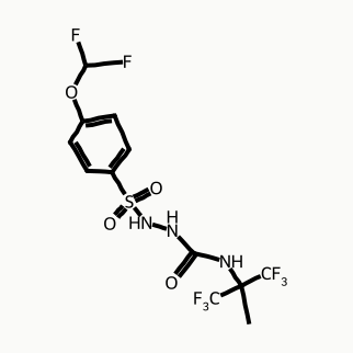 CC(NC(=O)NNS(=O)(=O)c1ccc(OC(F)F)cc1)(C(F)(F)F)C(F)(F)F